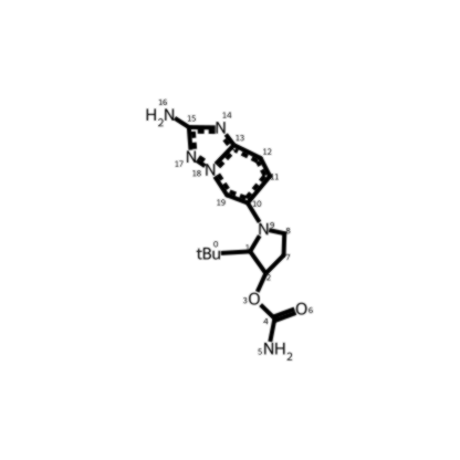 CC(C)(C)C1C(OC(N)=O)CCN1c1ccc2nc(N)nn2c1